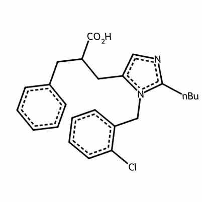 CCCCc1ncc(CC(Cc2ccccc2)C(=O)O)n1Cc1ccccc1Cl